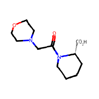 O=C(O)[C@@H]1CCCCN1C(=O)CN1CCOCC1